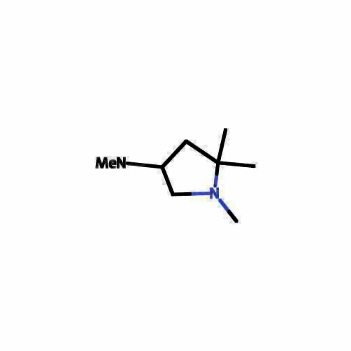 CNC1CN(C)C(C)(C)C1